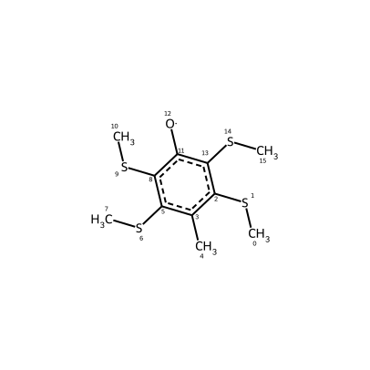 CSc1c(C)c(SC)c(SC)c([O])c1SC